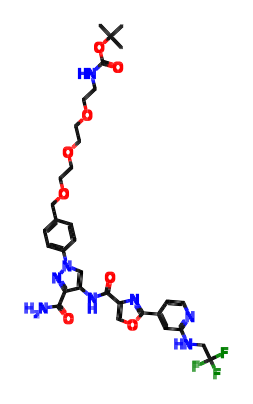 CC(C)(C)OC(=O)NCCOCCOCCOCc1ccc(-n2cc(NC(=O)c3coc(-c4ccnc(NCC(F)(F)F)c4)n3)c(C(N)=O)n2)cc1